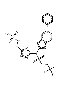 NS(=O)(=O)NCc1nnc(C(c2nc3ccc(-c4ccccc4)cc3s2)S(=O)(=O)CCC(F)(F)F)o1